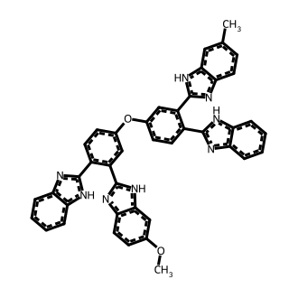 COc1ccc2nc(-c3cc(Oc4ccc(-c5nc6ccccc6[nH]5)c(-c5nc6ccc(C)cc6[nH]5)c4)ccc3-c3nc4ccccc4[nH]3)[nH]c2c1